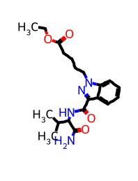 CCOC(=O)CCCCn1nc(C(=O)NC(C(N)=O)C(C)C)c2ccccc21